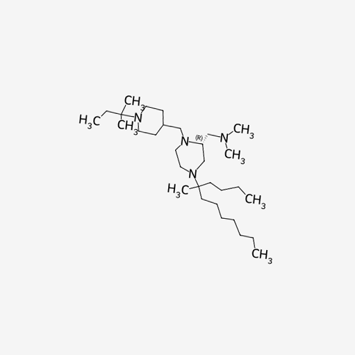 CCCCCCCC(C)(CCCC)N1CCN(CC2CCN(C(C)(C)CC)CC2)[C@H](CN(C)C)C1